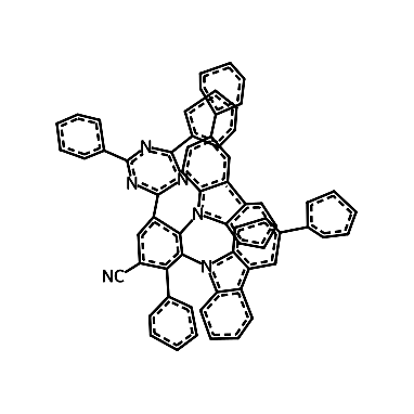 N#Cc1cc(-c2nc(-c3ccccc3)nc(-c3ccccc3)n2)c(-n2c3ccccc3c3cc(-c4ccccc4)ccc32)c(-n2c3ccccc3c3cc(-c4ccccc4)ccc32)c1-c1ccccc1